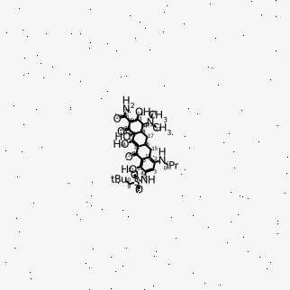 CC(C)Nc1cc(NS(=O)(=O)CC(C)(C)C)c(O)c2c1CC1CC3[C@H](N(C)C)C(O)=C(C(N)=O)C(=O)[C@@]3(O)C(O)=C1C2=O